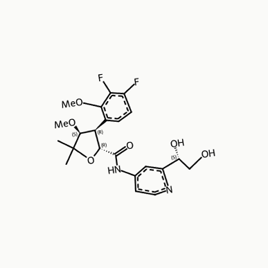 COc1c([C@H]2[C@H](C(=O)Nc3ccnc([C@H](O)CO)c3)OC(C)(C)[C@H]2OC)ccc(F)c1F